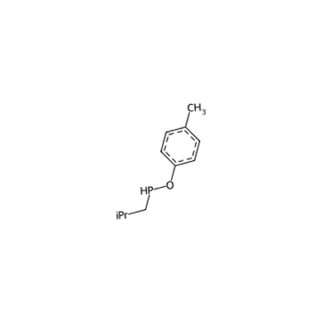 Cc1ccc(OPCC(C)C)cc1